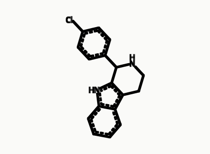 Clc1ccc(C2NCCc3c2[nH]c2ccccc32)cc1